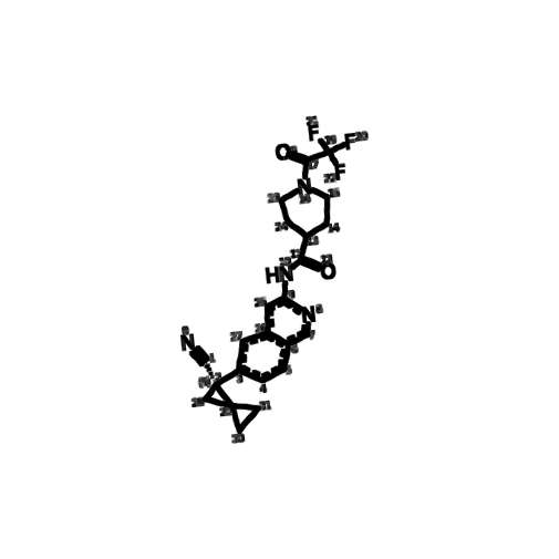 N#C[C@@]1(c2ccc3cnc(NC(=O)C4CCN(C(=O)C(F)(F)F)CC4)cc3c2)CC12CC2